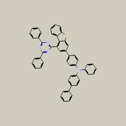 c1ccc(-c2ccc(N(c3ccccc3)c3ccc(-c4cc(-c5nc(-c6ccccc6)nc(-c6ccccc6)n5)c5c(c4)sc4ccccc45)cc3)cc2)cc1